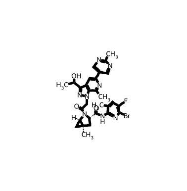 Cc1ncc(-c2cc3c(C(C)O)nn(CC(=O)N4[C@H](C(=O)Nc5nc(Br)c(F)cc5C)C[C@@]5(C)C[C@@H]45)c3c(C)n2)cn1